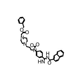 N=C(NC(=O)c1ccc2ccccc2c1)c1ccc(N2CC(CN3CCN(CC(=O)OCc4ccccc4)CC3)OC2=O)cc1